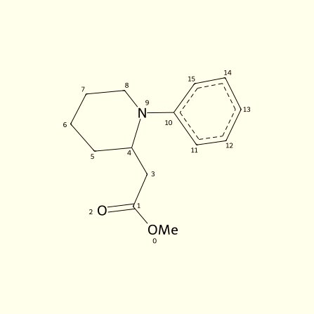 COC(=O)CC1CCCCN1c1ccccc1